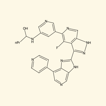 CCCC(O)Nc1cncc(-c2ncc3[nH]nc(-c4nc5c(-c6ccncc6)cncc5[nH]4)c3c2F)c1